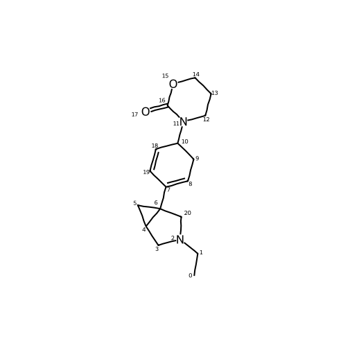 CCN1CC2CC2(C2=CCC(N3CCCOC3=O)C=C2)C1